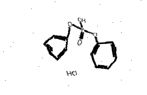 Cl.O=P(O)(Oc1ccccc1)Oc1ccccc1